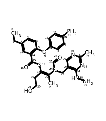 CCc1ccc(Oc2ccc(P)cc2)c(C(=O)S/C(CCO)=C(/C)N(C=O)Cc2cnc(C)nc2NN)c1